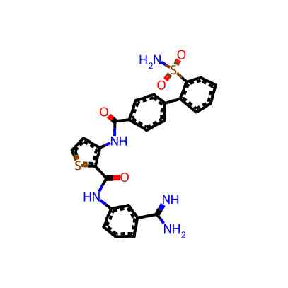 N=C(N)c1cccc(NC(=O)c2sccc2NC(=O)c2ccc(-c3ccccc3S(N)(=O)=O)cc2)c1